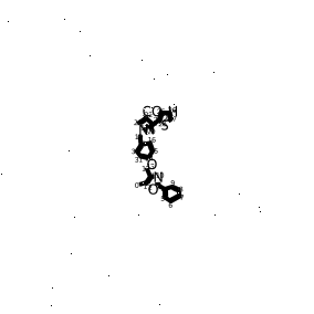 Cc1oc(-c2ccccc2)nc1COc1ccc(Cn2cc(C(=O)O)c(-c3cccs3)n2)cc1